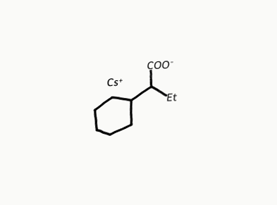 CCC(C(=O)[O-])C1CCCCC1.[Cs+]